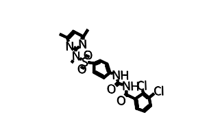 Cc1cc(C)nc(N(C)S(=O)(=O)c2ccc(NC(=O)NC(=O)c3cccc(Cl)c3Cl)cc2)n1